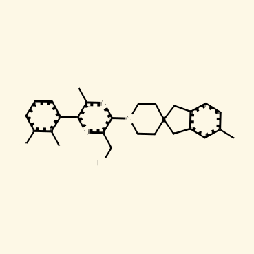 Cc1ccc2c(c1)CC1(CCN(c3nc(C)c(-c4cccc(Cl)c4C)nc3CO)CC1)C2